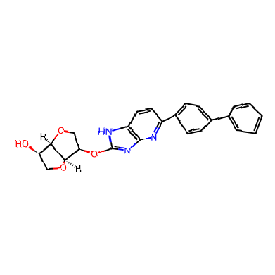 O[C@@H]1CO[C@H]2[C@@H]1OC[C@H]2Oc1nc2nc(-c3ccc(-c4ccccc4)cc3)ccc2[nH]1